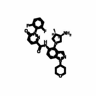 C[C@H]1CN(c2c(NC(=O)c3ccc(=O)n(-c4c(F)cccc4F)n3)ccc3c2cnn3C2CCOCC2)C[C@@H]1N